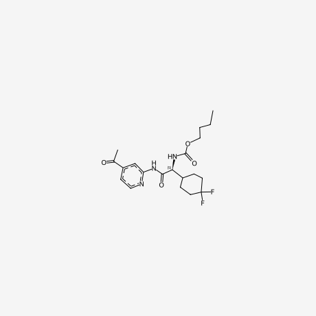 CCCCOC(=O)N[C@H](C(=O)Nc1cc(C(C)=O)ccn1)C1CCC(F)(F)CC1